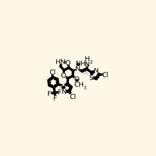 COC1C(c2cc(Cl)nn2-c2cc(Cl)ccc2C(F)(F)F)OC2CNOC2[C@H]1N(N)/C=C(\N)c1nc(Cl)cs1